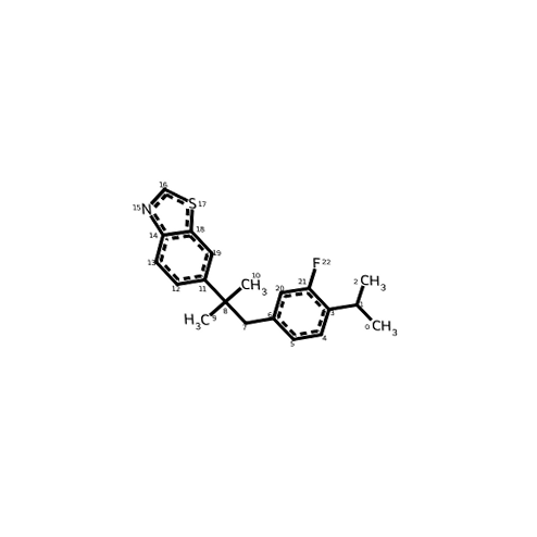 CC(C)c1ccc(CC(C)(C)c2ccc3ncsc3c2)cc1F